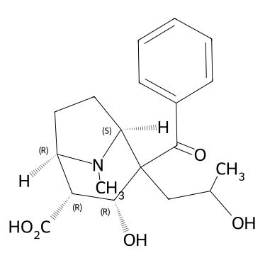 CC(O)CC1(C(=O)c2ccccc2)[C@H](O)[C@H](C(=O)O)[C@H]2CC[C@@H]1N2C